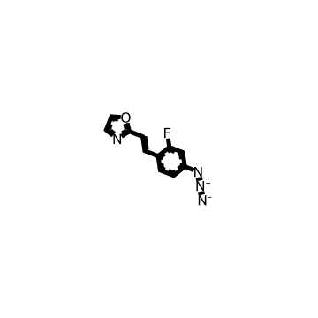 [N-]=[N+]=Nc1ccc(C=Cc2ncco2)c(F)c1